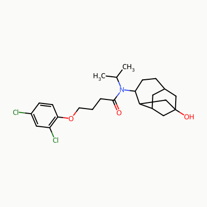 CC(C)N(C(=O)CCCOc1ccc(Cl)cc1Cl)C1CCC2CC3CC(O)(C2)CC31